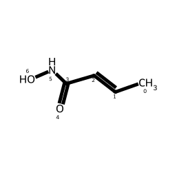 C/C=C/C(=O)NO